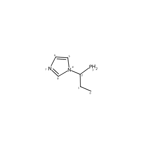 CCC(P)n1ccnc1